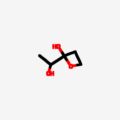 CC(O)C1(O)CCO1